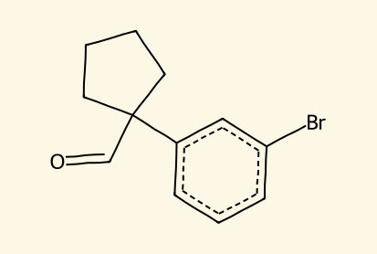 O=CC1(c2cccc(Br)c2)CCCC1